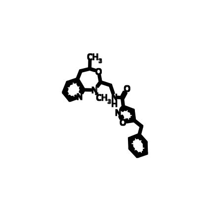 CC1Cc2cccnc2N(C)C(CNC(=O)c2cc(Cc3ccccc3)on2)O1